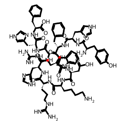 N=C(N)NCCC[C@@H](NC(=O)[C@H](CCCCN)NC(=O)[C@H](CC(=O)O)NC(=O)[C@@H](CCCNC(=N)N)NC(=O)[C@H](Cc1ccccc1)NC(=O)[C@@H](Cc1c[nH]cn1)NC(=O)[C@@H](N)Cc1ccc(O)cc1)C(=O)N[C@@H](Cc1c[nH]cn1)C(=O)N[C@@H](Cc1c[nH]c2ccccc12)C(=O)N[C@H](Cc1c[nH]cn1)C(=O)N[C@@H](Cc1ccccc1)C(=O)O